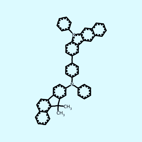 CC1(C)c2cc(N(c3ccccc3)c3ccc(-c4ccc5c(c4)c4cc6ccccc6cc4n5-c4ccccc4)cc3)ccc2-c2ccc3ccccc3c21